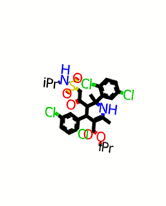 CC1=C(C(=O)OC(C)C)C(c2cc(Cl)ccc2Cl)C(C(=O)CS(=O)(=O)NC(C)C)C(C)(c2cc(Cl)ccc2Cl)N1